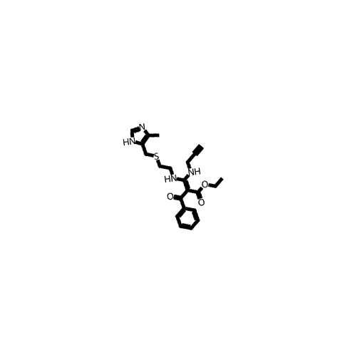 C#CCNC(NCCSCc1[nH]cnc1C)=C(C(=O)OCC)C(=O)c1ccccc1